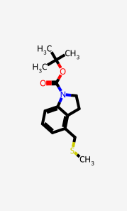 CSCc1cccc2c1CCN2C(=O)OC(C)(C)C